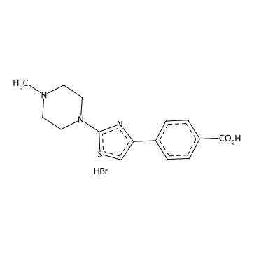 Br.CN1CCN(c2nc(-c3ccc(C(=O)O)cc3)cs2)CC1